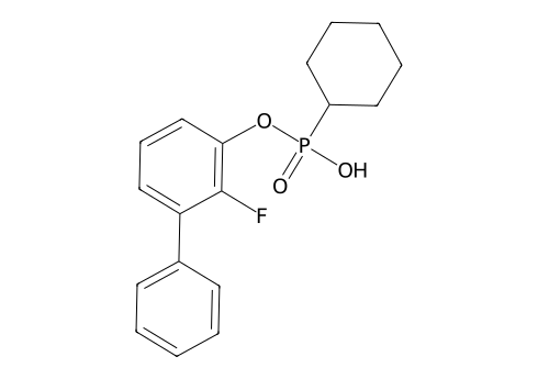 O=P(O)(Oc1cccc(-c2ccccc2)c1F)C1CCCCC1